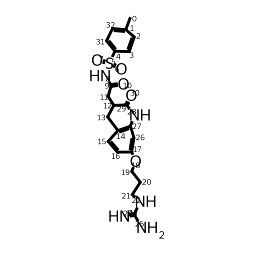 Cc1ccc(S(=O)(=O)NC(=O)CC2Cc3ccc(OCCCNC(=N)N)cc3NC2=O)cc1